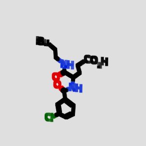 CCC(C)CCNC(=O)C(CCC(=O)O)NC(=O)c1cccc(Cl)c1